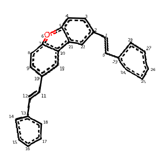 C(=Cc1ccc2oc3ccc(C=Cc4ccccc4)cc3c2c1)c1ccccc1